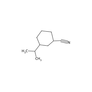 CC(C)C1CCCC(C#N)C1